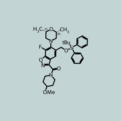 COC1CCN(C(=O)c2noc3c(F)c(N4C[C@@H](C)O[C@@H](C)C4)c(CO[Si](c4ccccc4)(c4ccccc4)C(C)(C)C)cc23)CC1